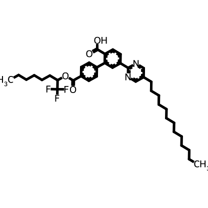 CCCCCCCCCCCCCc1cnc(-c2ccc(C(=O)O)c(-c3ccc(C(=O)OC(CCCCCC)C(F)(F)F)cc3)c2)nc1